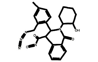 Cc1ccc(C2C(C(=O)N=O)c3ccccc3C(=O)N2C2CCCCC2O)c(CN=[N+]=[N-])c1